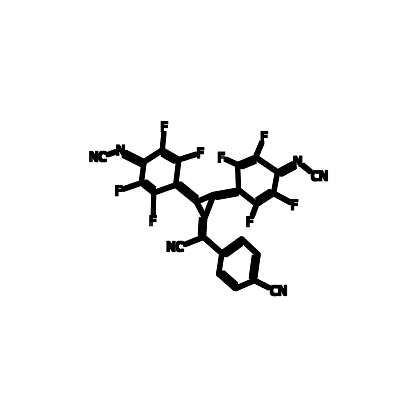 N#CN=C1C(F)=C(F)C(=C2C(=C3C(F)=C(F)C(=NC#N)C(F)=C3F)C2=C(C#N)c2ccc(C#N)cc2)C(F)=C1F